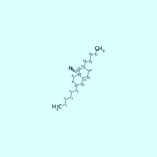 CCCCCCC1CCC2(C#N)CC(CCCCC)CCC2C1